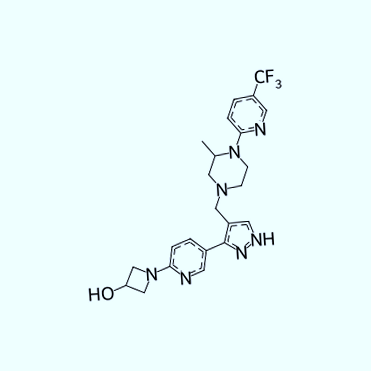 CC1CN(Cc2c[nH]nc2-c2ccc(N3CC(O)C3)nc2)CCN1c1ccc(C(F)(F)F)cn1